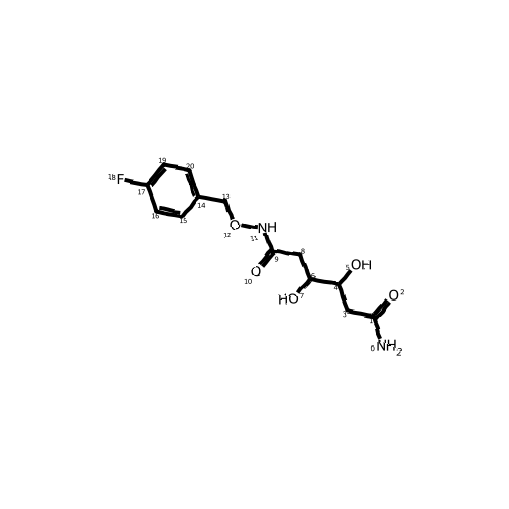 NC(=O)CC(O)C(O)CC(=O)NOCc1ccc(F)cc1